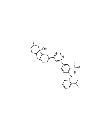 CC1CCC(C(C)C)C(O)(C2CCCN(c3cc(-c4ccc(Sc5ccccc5C(C)C)c(C(F)(F)F)c4)ncn3)C2)C1